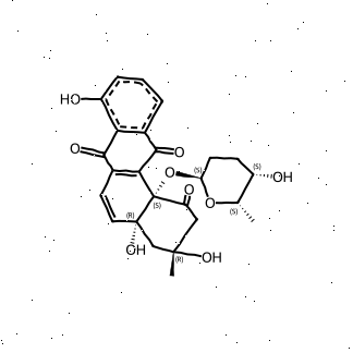 C[C@@H]1O[C@@H](O[C@]23C(=O)C[C@](C)(O)C[C@@]2(O)C=CC2=C3C(=O)c3cccc(O)c3C2=O)CC[C@@H]1O